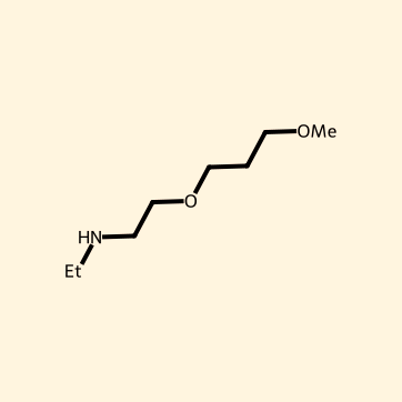 CCNCCOCCCOC